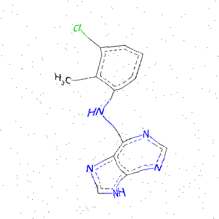 Cc1c(Cl)cccc1Nc1ncnc2[nH]cnc12